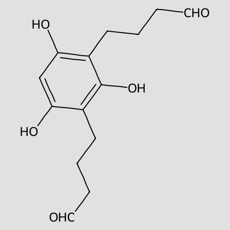 O=CCCCc1c(O)cc(O)c(CCCC=O)c1O